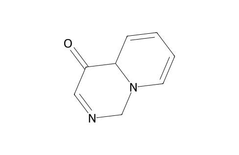 O=C1C=NCN2C=CC=CC12